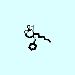 CCCCC/C=C1/NC(=O)OCCC1Sc1ccccc1